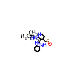 CC(C)(C)CNc1nccc(C=S=O)c1-c1nc2ccccc2[nH]1